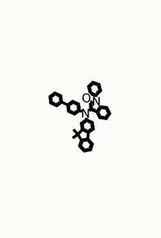 CC1(C)c2ccccc2-c2ccc(N(c3ccc(-c4ccccc4)cc3)c3c4ccccc4n4c3oc3ccccc34)cc21